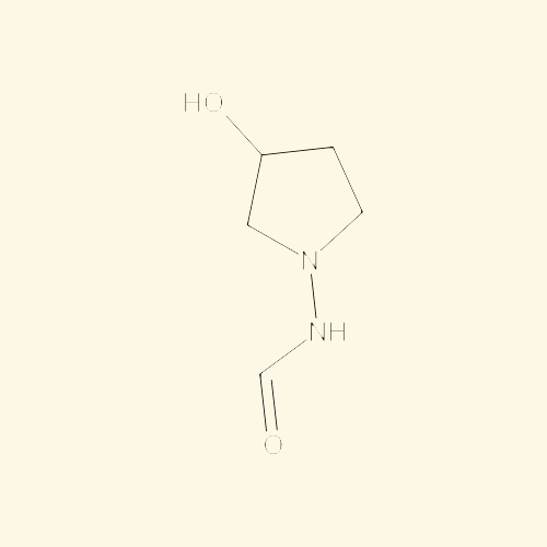 O=CNN1CCC(O)C1